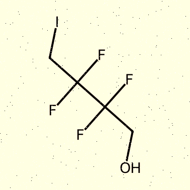 OCC(F)(F)C(F)(F)CI